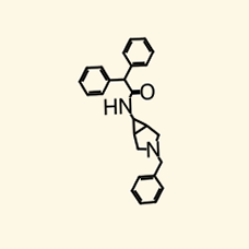 O=C(NC1C2CN(Cc3ccccc3)CC21)C(c1ccccc1)c1ccccc1